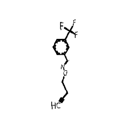 C#CCCON=[C]c1cccc(C(F)(F)F)c1